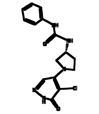 O=C(Nc1ccccc1)N[C@@H]1CCN(c2cn[nH]c(=O)c2Cl)C1